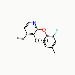 C=Cc1ccnc(Oc2ccc(C)cc2F)c1C(=O)OCC